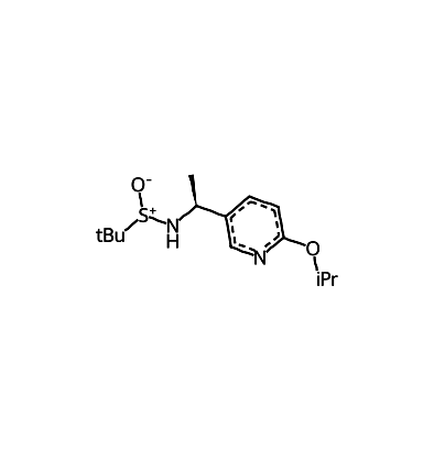 [CH2]C(C)(C)[S+]([O-])N[C@@H](C)c1ccc(OC(C)C)nc1